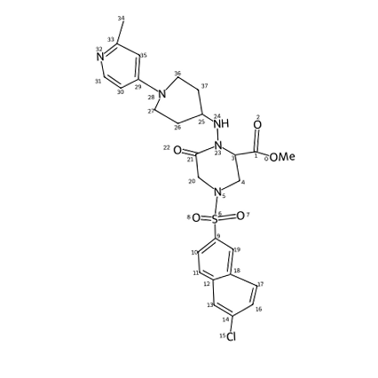 COC(=O)C1CN(S(=O)(=O)c2ccc3cc(Cl)ccc3c2)CC(=O)N1NC1CCN(c2ccnc(C)c2)CC1